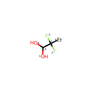 CCC(F)(F)C(O)O